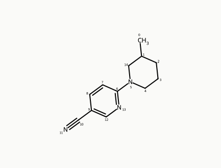 CC1[CH]CCN(c2ccc(C#N)cn2)C1